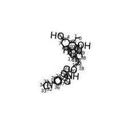 CC[C@@H]1C2C[C@H](O)CC[C@]2(C)[C@H]2CC[C@]3(C)[C@@H]([C@H](C)COC(=O)NS(=O)(=O)c4ccc(N5CCCC5)cc4)CC[C@H]3[C@@H]2[C@@H]1O